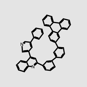 c1ccc(-c2cncc(-c3cc(-c4cccc(-c5cccc(-c6ccc7c8ccccc8c8ccccc8c7c6)c5)c4)nc4ccccc34)c2)cc1